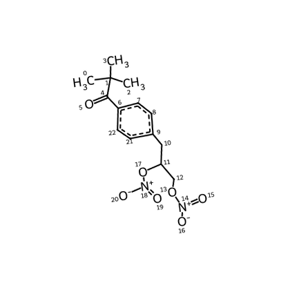 CC(C)(C)C(=O)c1ccc(CC(CO[N+](=O)[O-])O[N+](=O)[O-])cc1